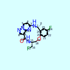 C[C@H]1Nc2ccn3ncc(c3n2)C(=O)N[C@H](CF)COc2ccc(F)cc21